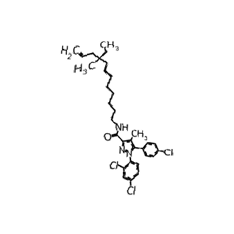 C=CCC(C)(CC)CCCCCCCCNC(=O)c1nn(-c2ccc(Cl)cc2Cl)c(-c2ccc(Cl)cc2)c1C